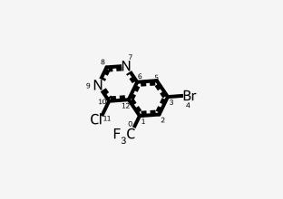 FC(F)(F)c1cc(Br)cc2ncnc(Cl)c12